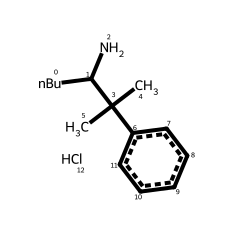 CCCCC(N)C(C)(C)c1ccccc1.Cl